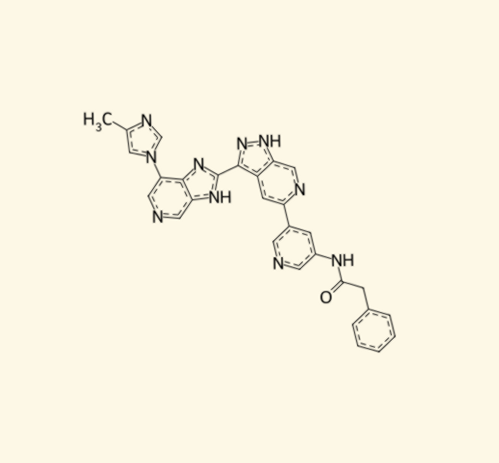 Cc1cn(-c2cncc3[nH]c(-c4n[nH]c5cnc(-c6cncc(NC(=O)Cc7ccccc7)c6)cc45)nc23)cn1